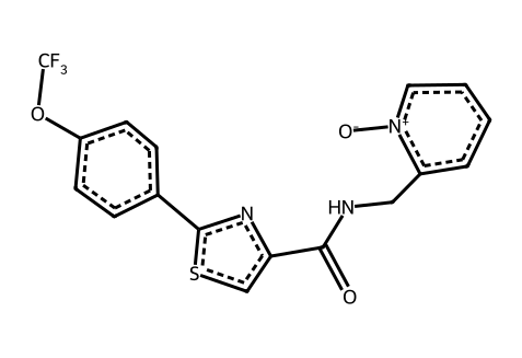 O=C(NCc1cccc[n+]1[O-])c1csc(-c2ccc(OC(F)(F)F)cc2)n1